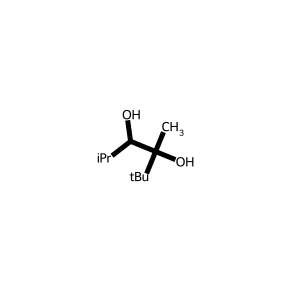 CC(C)C(O)C(C)(O)C(C)(C)C